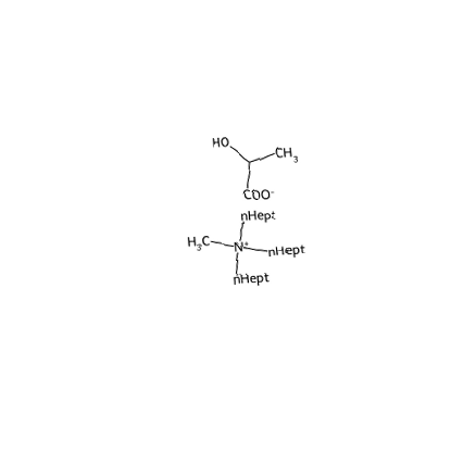 CC(O)C(=O)[O-].CCCCCCC[N+](C)(CCCCCCC)CCCCCCC